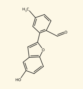 Cc1ccc(C=O)c(-c2cc3cc(O)ccc3o2)c1